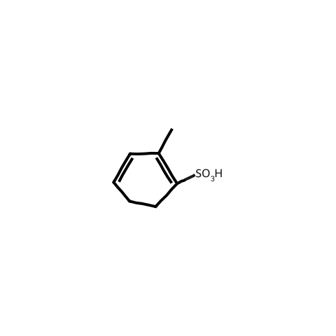 CC1=C(S(=O)(=O)O)CCC=C1